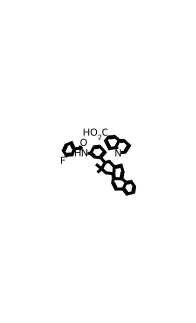 CC1(C)Cc2c(ccc3c2ccc2ccccc23)CC1c1cccc(NC(=O)c2cccc(F)c2)c1.O=C(O)c1ccc2ncccc2c1